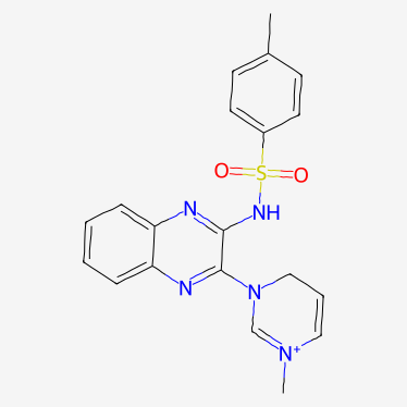 Cc1ccc(S(=O)(=O)Nc2nc3ccccc3nc2N2C=[N+](C)C=CC2)cc1